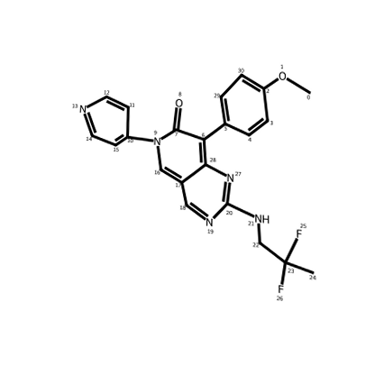 COc1ccc(-c2c(=O)n(-c3ccncc3)cc3cnc(NCC(C)(F)F)nc23)cc1